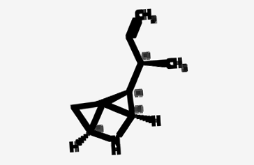 C=C[C@@H](C)[C@H]1[C@H]2N[C@H]3CC132